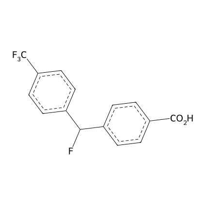 O=C(O)c1ccc(C(F)c2ccc(C(F)(F)F)cc2)cc1